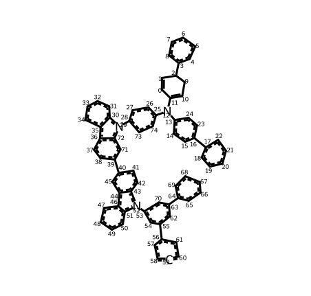 C1=CC(c2ccccc2)CC=C1N(c1ccc(-c2ccccc2)cc1)c1ccc(-n2c3ccccc3c3ccc(-c4ccc5c(c4)c4ccccc4n5-c4cc(-c5ccccc5)cc(-c5ccccc5)c4)cc32)cc1